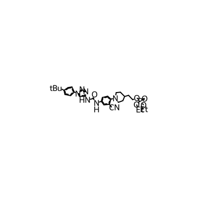 CCOP(=O)(OCC)OCCC1CCN(c2ccc(NC(=O)Nc3cn(-c4ccc(C(C)(C)C)cc4)nn3)cc2C#N)CC1